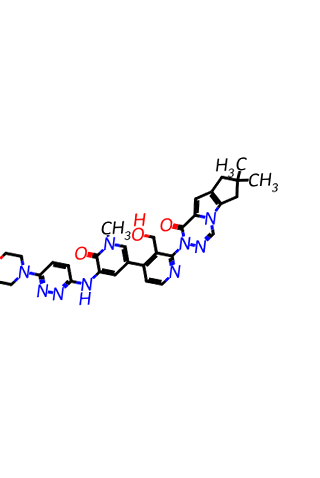 Cn1cc(-c2ccnc(-n3ncn4c5c(cc4c3=O)CC(C)(C)C5)c2CO)cc(Nc2ccc(N3CCOCC3)nn2)c1=O